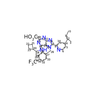 CC=C(C)c1ccnc(-c2nc3nc(C(=O)O)nc(NC(C)C4CCC4)c3n2Cc2ccc(C(F)(F)F)cc2)c1